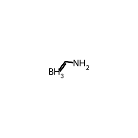 B.C=CN